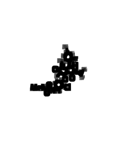 CNS(=O)(=O)Nc1ccc(Oc2c(C(=O)NC3CC3)c(Nc3ccc(C)cc3F)n(C)c(=O)c2C)c(Cl)c1